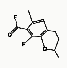 Cc1cc2c(c(F)c1C(=O)F)OC(C)CC2